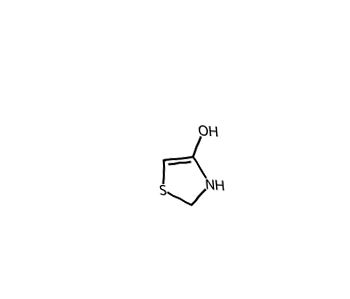 OC1=CSCN1